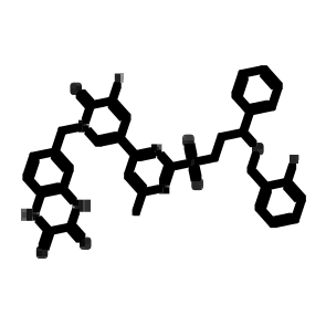 Cc1cc(-c2cc(F)c(=O)n(Cc3ccc4[nH]c(=O)c(=O)[nH]c4c3)c2)nc(S(=O)(=O)CCC(OCc2ccccc2F)c2ccccc2)n1